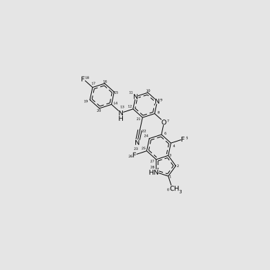 Cc1cc2c(F)c(Oc3ncnc(Nc4ccc(F)cc4)c3C#N)cc(F)c2[nH]1